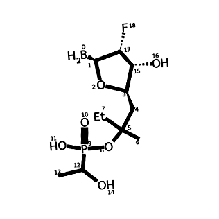 B[C@@H]1O[C@H](CC(C)(CC)OP(=O)(O)C(C)O)[C@@H](O)[C@H]1F